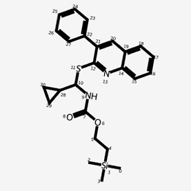 C[Si](C)(C)CCOC(=O)NC(Sc1nc2ccccc2cc1-c1ccccc1)C1CC1